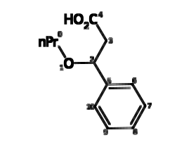 CCCOC(CC(=O)O)c1ccccc1